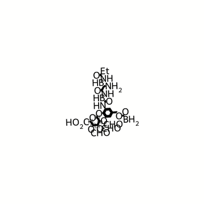 BC(=O)OCc1ccc(O[C@@H]2O[C@H](C(=O)O)[C@@H](OC=O)[C@H](OC=O)[C@H]2OC=O)c(NC(=O)BNC(=O)C(N)BNC(=O)CC)c1